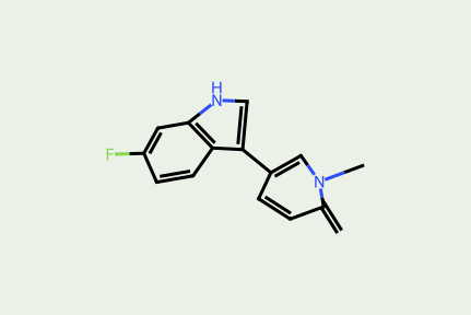 C=C1C=CC(c2c[nH]c3cc(F)ccc23)=CN1C